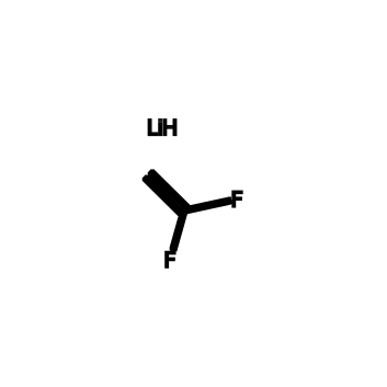 C=C(F)F.[LiH]